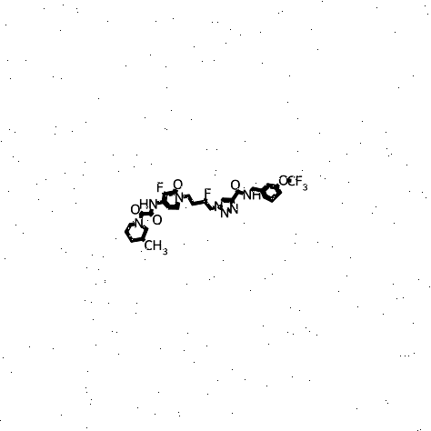 CC1CCCN(C(=O)C(=O)Nc2ccn(CCC(F)Cn3cc(C(=O)NCc4cccc(OC(F)(F)F)c4)nn3)c(=O)c2F)C1